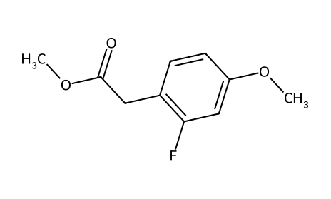 COC(=O)Cc1ccc(OC)cc1F